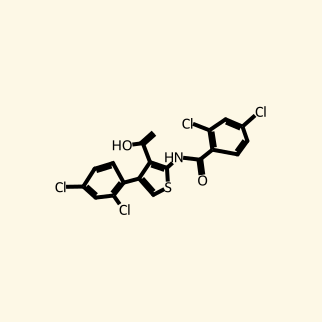 C=C(O)c1c(-c2ccc(Cl)cc2Cl)csc1NC(=O)c1ccc(Cl)cc1Cl